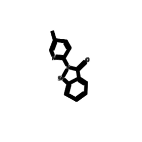 Cc1ccc(-n2[se]c3ccccc3c2=O)nc1